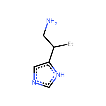 CCC(CN)c1cnc[nH]1